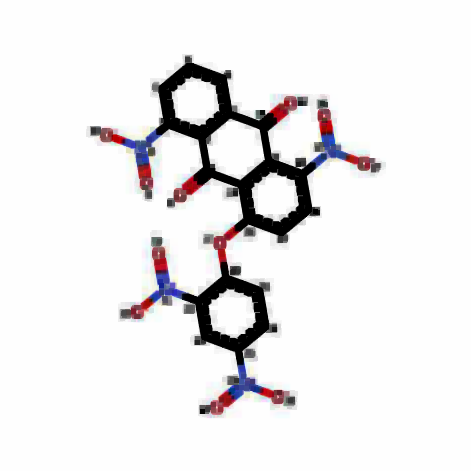 O=C1c2c(cccc2[N+](=O)[O-])C(=O)c2c([N+](=O)[O-])ccc(Oc3ccc([N+](=O)[O-])cc3[N+](=O)[O-])c21